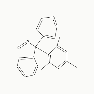 Cc1cc(C)c(C(P=O)(c2ccccc2)c2ccccc2)c(C)c1